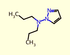 CCCN(CCC)n1cccn1